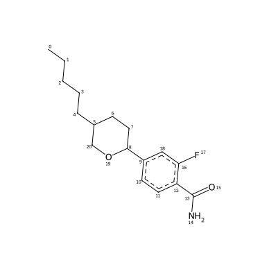 CCCCCC1CCC(c2ccc(C(N)=O)c(F)c2)OC1